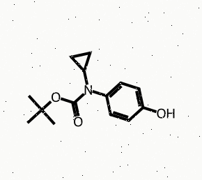 CC(C)(C)OC(=O)N(c1ccc(O)cc1)C1CC1